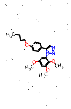 CCCCOc1ccc(-c2cnnn2-c2cc(OC)cc(OC)c2OC)cc1